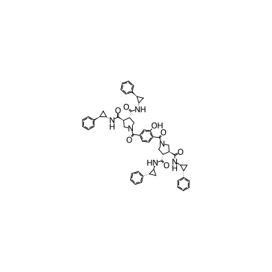 O=C(N[C@H]1C[C@@H]1c1ccccc1)[C@@H]1CN(C(=O)c2ccc(C(=O)N3C[C@@H](C(=O)N[C@H]4C[C@@H]4c4ccccc4)[C@H](C(=O)N[C@H]4C[C@@H]4c4ccccc4)C3)c(O)c2)C[C@H]1C(=O)N[C@H]1C[C@@H]1c1ccccc1